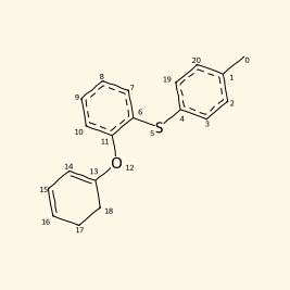 Cc1ccc(Sc2ccccc2OC2=CC=CCC2)cc1